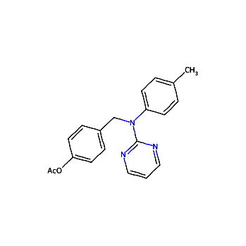 CC(=O)Oc1ccc(CN(c2ccc(C)cc2)c2ncccn2)cc1